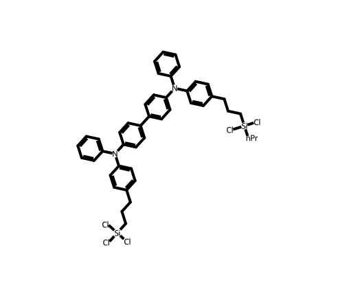 CCC[Si](Cl)(Cl)CCCc1ccc(N(c2ccccc2)c2ccc(-c3ccc(N(c4ccccc4)c4ccc(CCC[Si](Cl)(Cl)Cl)cc4)cc3)cc2)cc1